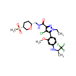 CCn1nc(C(=O)NC[C@H]2CC[C@@H](S(C)(=O)=O)CO2)c(Cl)c1-c1ccc(N[C@H](C)C(F)(F)F)cc1OC